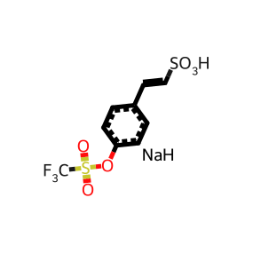 O=S(=O)(O)/C=C/c1ccc(OS(=O)(=O)C(F)(F)F)cc1.[NaH]